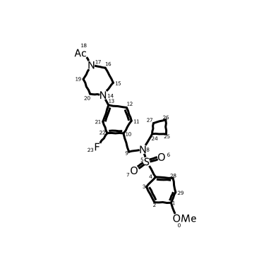 COc1ccc(S(=O)(=O)N(Cc2ccc(N3CCN(C(C)=O)CC3)cc2F)C2CCC2)cc1